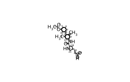 CC(=O)Oc1cccc(-c2c(C)cc(NC(=O)[C@H]3C[C@H](CC[SH](=O)=O)CN3)cc2C)c1